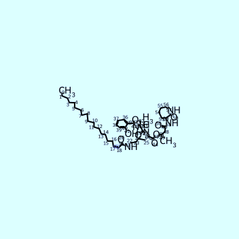 CCCCCCCCCCCCCCCCC/C=C\C(=O)NCCCC[C@H](NC(=O)[C@]1(C)COC(c2ccccc2O)=N1)C(=O)O[C@H](C)CC(=O)N[C@H]1CCCCNC1=O